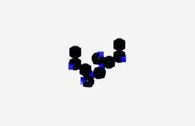 c1ccc(-c2cncc(-c3ccc4c(c3)c3ncccc3n4-c3cccc(-n4c5ccc(-c6cncc(-c7ccccc7)c6)cc5c5ncccc54)c3)c2)cc1